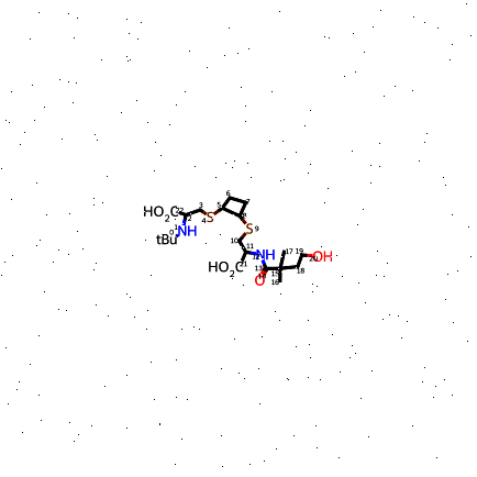 CC(C)(C)NC(CSC1CCC1SCC(NC(=O)C(C)(C)CCO)C(=O)O)C(=O)O